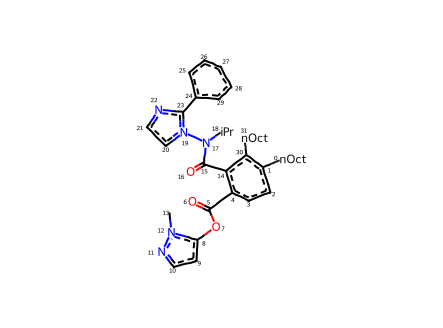 CCCCCCCCc1ccc(C(=O)Oc2ccnn2C)c(C(=O)N(C(C)C)n2ccnc2-c2ccccc2)c1CCCCCCCC